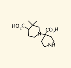 CC1(C)CN(C2(C(=O)O)CCNCC2)CCC1C(=O)O